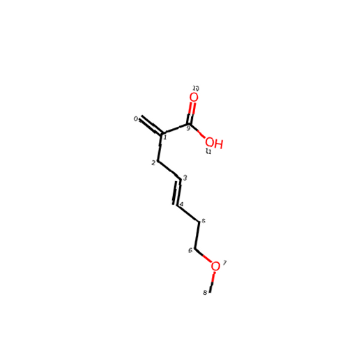 C=C(CC=CCCOC)C(=O)O